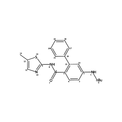 CCCCNc1ccc(C(=O)Nc2ncc(C)s2)c(-c2ccccc2)c1